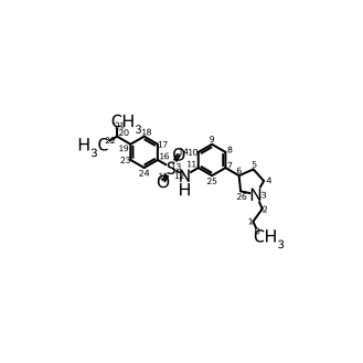 CCCN1CCC(c2cccc(NS(=O)(=O)c3ccc(C(C)C)cc3)c2)C1